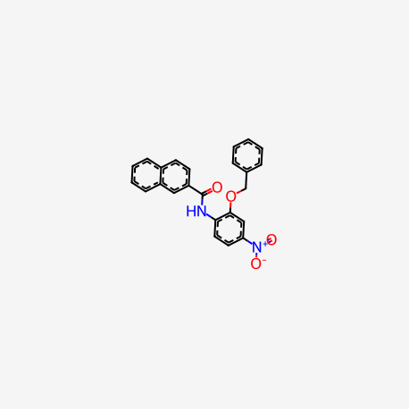 O=C(Nc1ccc([N+](=O)[O-])cc1OCc1ccccc1)c1ccc2ccccc2c1